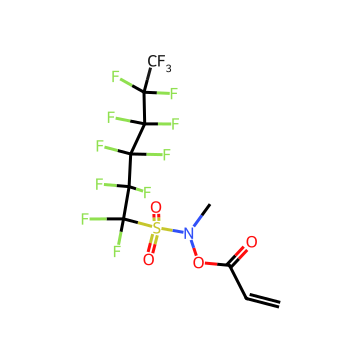 C=CC(=O)ON(C)S(=O)(=O)C(F)(F)C(F)(F)C(F)(F)C(F)(F)C(F)(F)C(F)(F)F